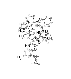 CCC[C@H](NC(=O)[C@@H]1C[C@@]2(CN1C(=O)[C@@H](NC(=O)[C@@H](NC(=O)[C@@H]1CCCN(C3CCC3)C1)C1CCCCC1)C(C)(C)C)C(C)(C)C21CCC1)C(=O)C(=O)NC1CC1